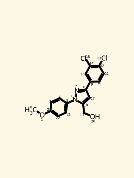 COc1ccc(-n2nc(-c3ccc(Cl)c(Cl)c3)cc2CO)cc1